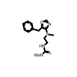 CNC(=S)NCCN(C)c1ncoc1Cc1ccccc1